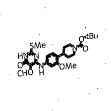 COc1cc(Nc2nc(SC)[nH]c(=O)c2C=O)ccc1C1CCN(C(=O)OC(C)(C)C)CC1